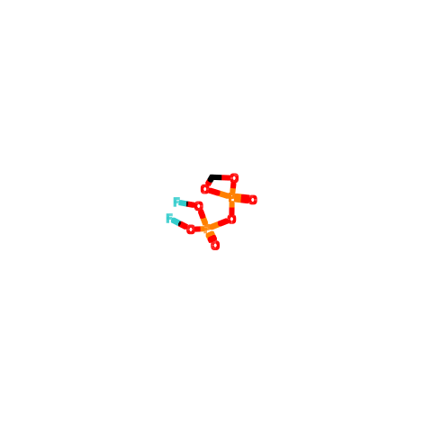 O=P(OF)(OF)OP1(=O)OCO1